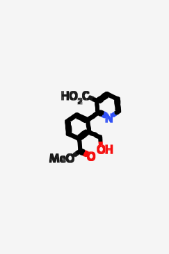 COC(=O)c1cccc(-c2ncccc2C(=O)O)c1CO